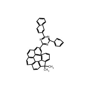 CC1(C)c2ccccc2-c2c1ccc1ccc3ccc4cc(-c5nc(-c6ccccc6)nc(-c6ccc7ccccc7c6)n5)ccc4c3c21